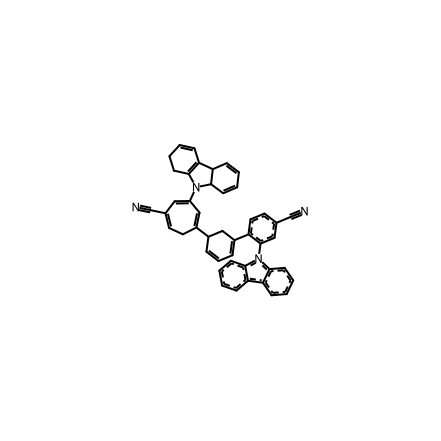 N#CC1=CCC(C2C=CC=C(c3ccc(C#N)cc3-n3c4ccccc4c4ccccc43)C2)=CC(N2C3=C(C=CCC3)C3C=CC=CC32)=C1